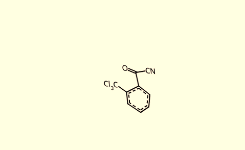 N#CC(=O)c1ccccc1C(Cl)(Cl)Cl